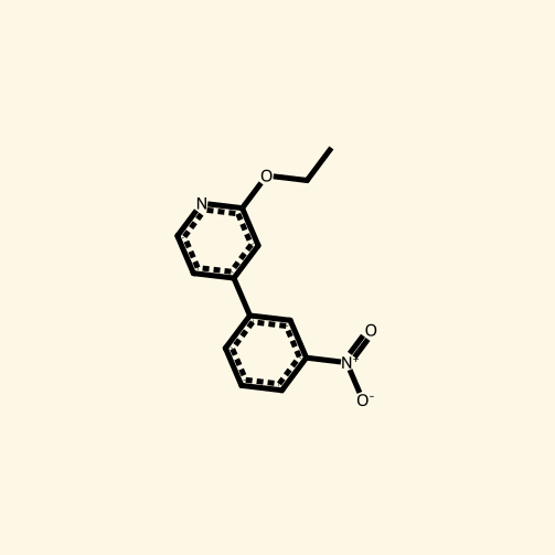 CCOc1cc(-c2cccc([N+](=O)[O-])c2)ccn1